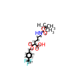 CC(C)(C)OC(=O)NCCCCC(C(=O)O)C(=O)OCc1ccc(C(F)(F)F)cc1